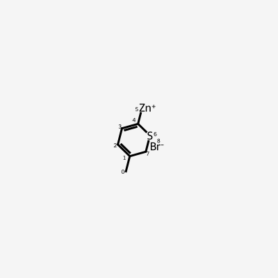 CC1=CC=[C]([Zn+])SC1.[Br-]